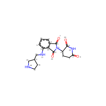 O=C1CCC(N2C(=O)c3cccc(NCC4CCNC4)c3C2=O)C(=O)N1